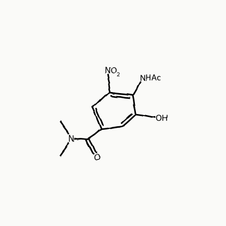 CC(=O)Nc1c(O)cc(C(=O)N(C)C)cc1[N+](=O)[O-]